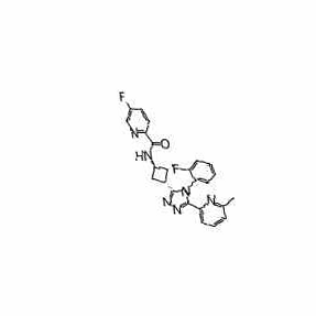 Cc1cccc(-c2nnc([C@H]3C[C@H](NC(=O)c4ccc(F)cn4)C3)n2-c2ccccc2F)n1